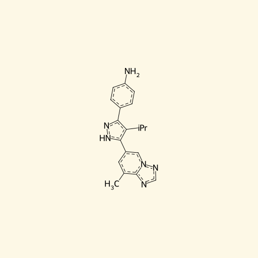 Cc1cc(-c2[nH]nc(-c3ccc(N)cc3)c2C(C)C)cn2ncnc12